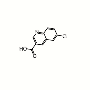 O=C(O)c1cnc2ccc(Cl)cc2c1